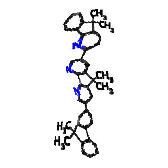 CC1(C)c2ccccc2-c2ccc(-c3cnc4c(c3)C(C)(C)c3cc(-c5ccc6c(n5)-c5ccccc5C6(C)C)cnc3-4)cc21